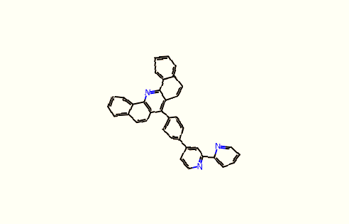 c1ccc(-c2cc(-c3ccc(-c4c5ccc6ccccc6c5nc5c4ccc4ccccc45)cc3)ccn2)nc1